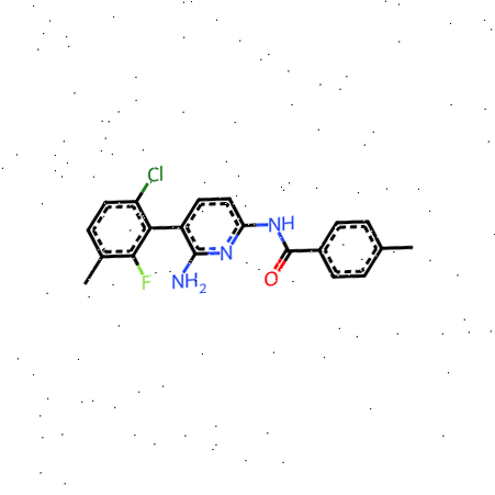 Cc1ccc(C(=O)Nc2ccc(-c3c(Cl)ccc(C)c3F)c(N)n2)cc1